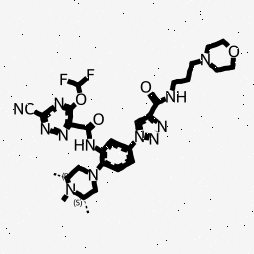 C[C@@H]1CN(c2ccc(-n3cc(C(=O)NCCCN4CCOCC4)nn3)cc2NC(=O)c2nnc(C#N)nc2OC(F)F)C[C@H](C)N1C